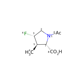 CC(=O)N1C[C@@H](F)[C@H](C)[C@H]1C(=O)O